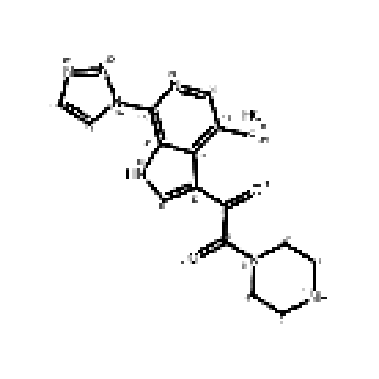 Cl.O=C(C(=O)N1CCNCC1)c1c[nH]c2c(-n3ccnn3)ncc(F)c12